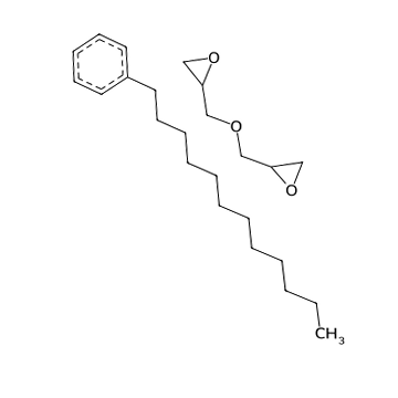 C(OCC1CO1)C1CO1.CCCCCCCCCCCCc1ccccc1